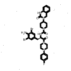 Nc1c(Br)cc(C[C@@H](NC(=O)N2CCC(N3Cc4ccccc4NC3=O)CC2)C(=O)N2CCN(c3ccc(F)cc3)CC2)cc1Br